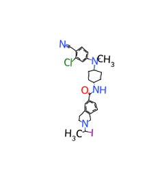 CC(I)N1CCc2cc(C(=O)N[C@H]3CC[C@H](N(C)c4ccc(C#N)c(Cl)c4)CC3)ccc2C1